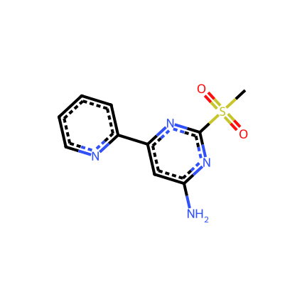 CS(=O)(=O)c1nc(N)cc(-c2ccccn2)n1